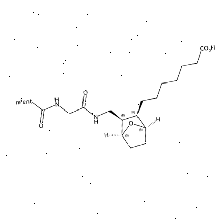 CCCCCC(=O)NCC(=O)NC[C@H]1[C@@H](CCCCCCC(=O)O)[C@H]2CC[C@@H]1O2